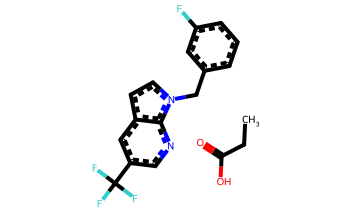 CCC(=O)O.Fc1cccc(Cn2ccc3cc(C(F)(F)F)cnc32)c1